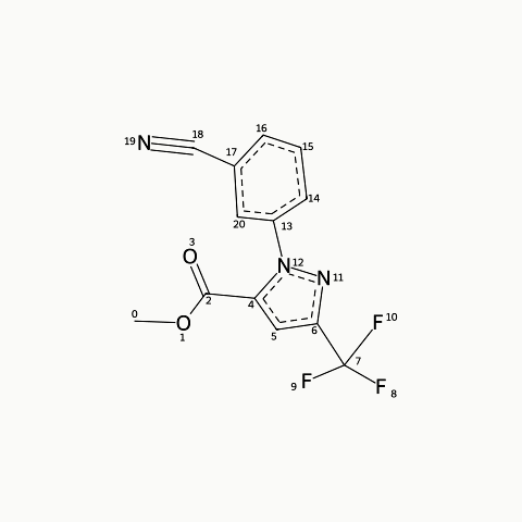 COC(=O)c1cc(C(F)(F)F)nn1-c1cccc(C#N)c1